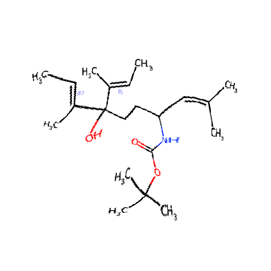 C/C=C(\C)C(O)(CCC(C=C(C)C)NC(=O)OC(C)(C)C)/C(C)=C/C